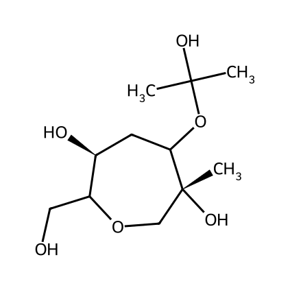 CC(C)(O)OC1C[C@H](O)C(CO)OC[C@@]1(C)O